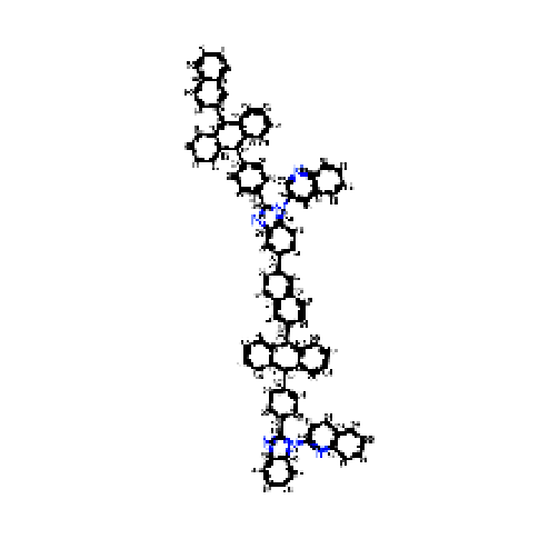 c1ccc2cc(-c3c4ccccc4c(-c4ccc(-c5nc6cc(-c7ccc8cc(-c9c%10ccccc%10c(-c%10ccc(-c%11nc%12ccccc%12n%11-c%11ccc%12ccccc%12n%11)cc%10)c%10ccccc9%10)ccc8c7)ccc6n5-c5cnc6ccccc6c5)cc4)c4ccccc34)ccc2c1